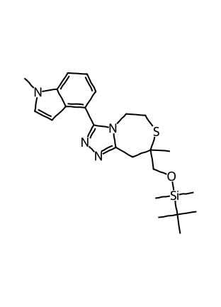 Cn1ccc2c(-c3nnc4n3CCSC(C)(CO[Si](C)(C)C(C)(C)C)C4)cccc21